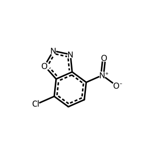 O=[N+]([O-])c1ccc(Cl)c2onnc12